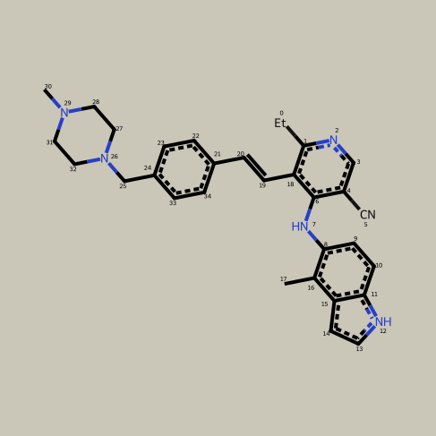 CCc1ncc(C#N)c(Nc2ccc3[nH]ccc3c2C)c1C=Cc1ccc(CN2CCN(C)CC2)cc1